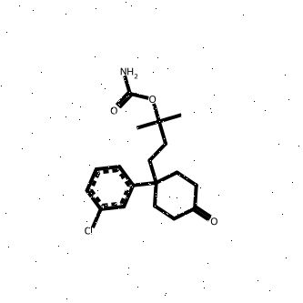 CC(C)(CCC1(c2cccc(Cl)c2)CCC(=O)CC1)OC(N)=O